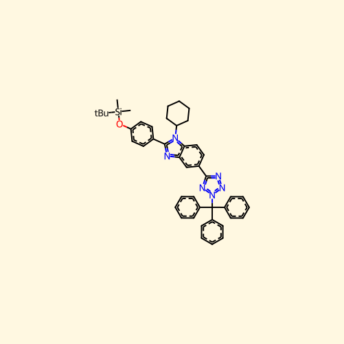 CC(C)(C)[Si](C)(C)Oc1ccc(-c2nc3cc(-c4nnn(C(c5ccccc5)(c5ccccc5)c5ccccc5)n4)ccc3n2C2CCCCC2)cc1